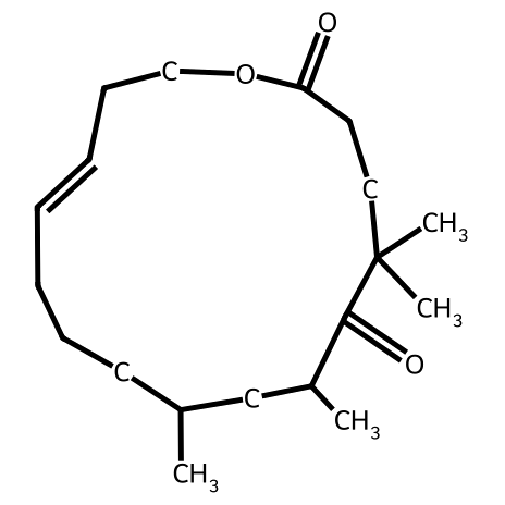 CC1CCC/C=C/CCOC(=O)CCC(C)(C)C(=O)C(C)C1